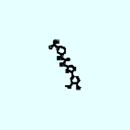 COc1cc(-c2nc(NC(=O)N[C@H]3CCCN(C(=O)O)C3)cs2)ccc1Br